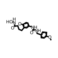 COc1ccc(CNC(=O)Nc2ccc3c(c2)CCC(C(=O)NO)O3)cc1